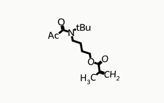 C=C(C)C(=O)OCCCCN(C(=O)C(C)=O)C(C)(C)C